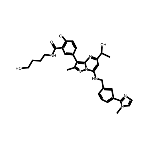 Cc1nn2c(NCc3cccc(-c4nccn4C)c3)cc(C(C)O)nc2c1-c1ccc(Cl)c(C(=O)NCCCCO)c1